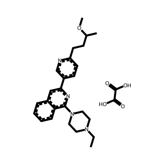 CCN1CCN(c2nc(-c3ccc(CCC(C)OC)nc3)cc3ccccc23)CC1.O=C(O)C(=O)O